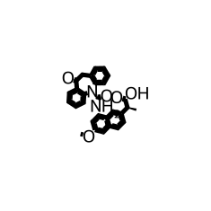 COc1ccc2cc([C@H](C)C(=O)O)ccc2c1.NC(=O)N1c2ccccc2CC(=O)c2ccccc21